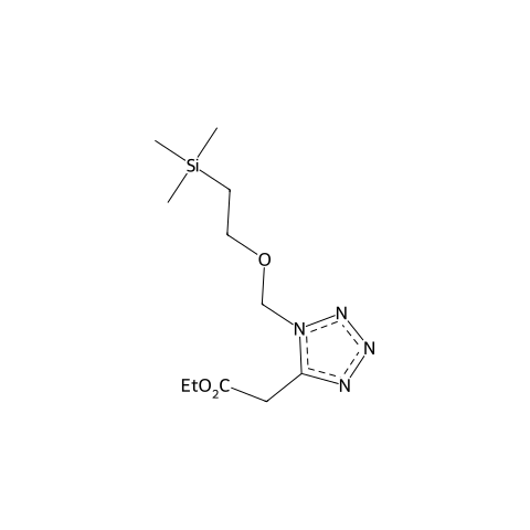 CCOC(=O)Cc1nnnn1COCC[Si](C)(C)C